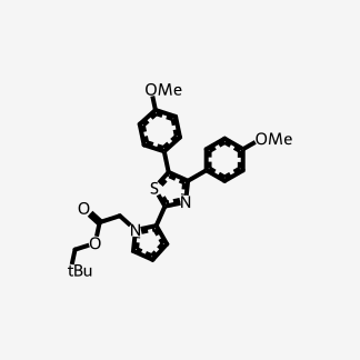 COc1ccc(-c2nc(-c3cccn3CC(=O)OCC(C)(C)C)sc2-c2ccc(OC)cc2)cc1